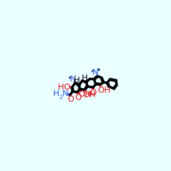 CN(C)c1cc(-c2ccccc2)c(O)c2c1C[C@@H]1C[C@@H]3[C@@H](N(C)C)C(O)=C(C(N)=O)C(=O)[C@]3(O)C(O)=C1C2=O